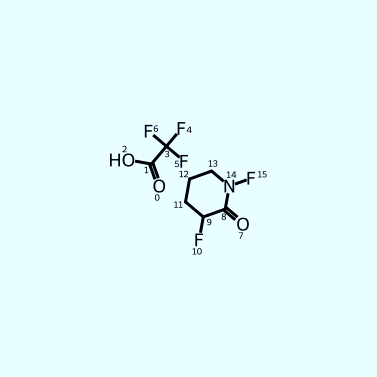 O=C(O)C(F)(F)F.O=C1C(F)CCCN1F